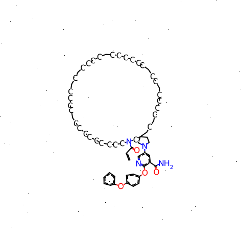 C=CC(=O)N1CCCCCCCCCCCCCCCCCCCCCCCCCCCCCCCCCCCCCCCC2(CCN(c3cnc(Oc4ccc(Oc5ccccc5)cc4)c(C(N)=O)c3)C2)C1